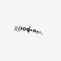 C=CC(CC)[C@H]1CC[C@H](c2cc(F)c(C#C[C@H]3CC[C@H](CC)CC3)c(F)c2)CC1